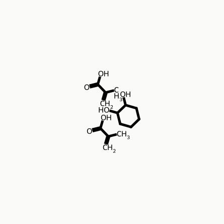 C=C(C)C(=O)O.C=C(C)C(=O)O.OC1CCCCC1O